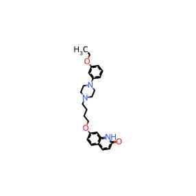 CCOc1cccc(N2CCN(CCCCOc3ccc4ccc(=O)[nH]c4c3)CC2)c1